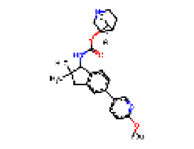 CCCCOc1ccc(-c2ccc3c(c2)CC(C)(C)C3NC(=O)O[C@H]2CN3CCC2CC3)cn1